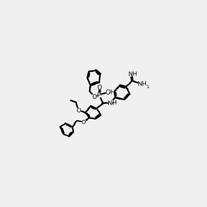 CCOc1cc(C(Nc2ccc(C(=N)N)cc2)P(=O)(O)OCc2ccccc2)ccc1OCc1ccccc1